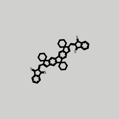 S=C1C(=CC2=Cc3cc4c(cc3C23CCCCC3)-c2cc3c(cc2C42CCCCC2)C=C(C=C2C(=S)c4ccccc4C2=S)C32CCCCC2)C(=S)c2ccccc21